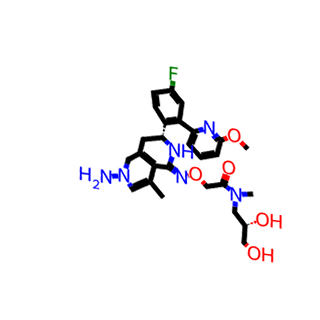 COc1cccc(-c2cc(F)ccc2[C@H]2CC3=C(C(C)=CN(N)C3)C(=NOCC(=O)N(C)C[C@H](O)CO)N2)n1